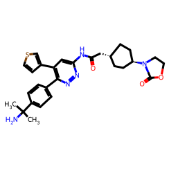 CC(C)(N)c1ccc(-c2nnc(NC(=O)C[C@H]3CC[C@H](N4CCOC4=O)CC3)cc2-c2ccsc2)cc1